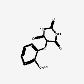 COc1ccccc1OC1C(=O)NC(=O)NC1=O